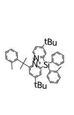 Cc1ccccc1C(C)(C)c1cc(C(C)(C)C)cc([Si](c2ccccc2)(c2ccccc2C)c2cc(C(C)(C)C)cc[n+]2C)[n+]1C